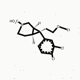 CCOCC[C@@]1(c2ccc(Cl)c(Cl)c2)[C@@H]2CN(C(=O)O)CC[C@@H]21